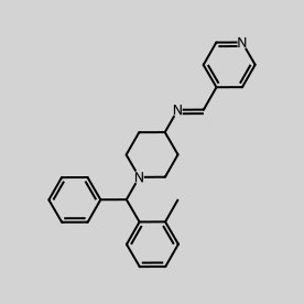 Cc1ccccc1C(c1ccccc1)N1CCC(N=Cc2ccncc2)CC1